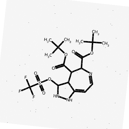 CC(C)(C)OC(=O)C1N=CC=C2NNC(OS(=O)(=O)C(F)(F)F)C2C1C(=O)OC(C)(C)C